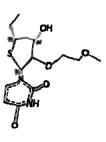 CC[C@H]1S[C@@H](n2ccc(=O)[nH]c2=O)C(OCCOC)[C@H]1O